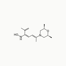 C=C(C)/C(=C\C=C(/C)N1C[C@@H](C)O[C@@H](C)C1)NO